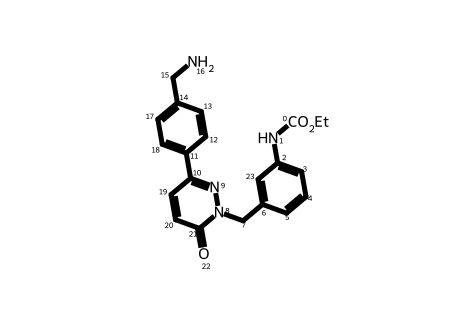 CCOC(=O)Nc1cccc(Cn2nc(-c3ccc(CN)cc3)ccc2=O)c1